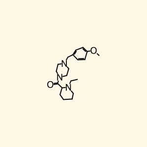 CCN1CCCCC1C(=O)N1CCN(Cc2ccc(OC)cc2)CC1